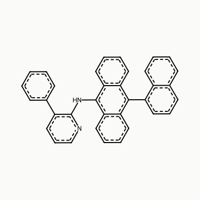 c1ccc(-c2cccnc2Nc2c3ccccc3c(-c3cccc4ccccc34)c3ccccc23)cc1